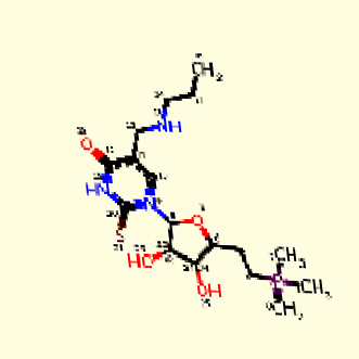 C=P(C)(C)CCC1OC(n2cc(CNCCC)c(=O)[nH]c2=S)[C@H](O)[C@@H]1O